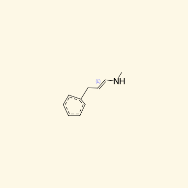 CN/C=C/Cc1ccccc1